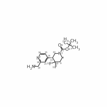 CC(C)(C)OC(=O)N1CCC(F)(F)[C@@H](c2ccnc(CN)c2)C1